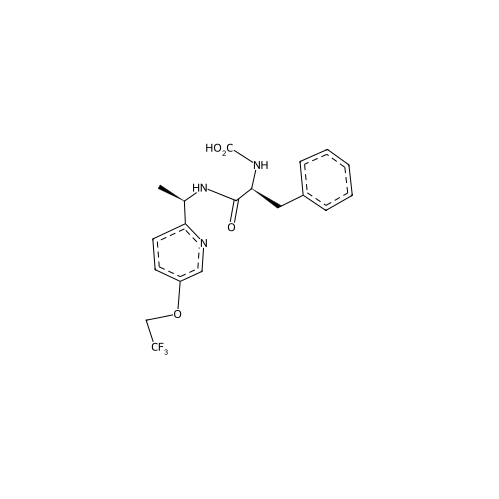 C[C@@H](NC(=O)[C@H](Cc1ccccc1)NC(=O)O)c1ccc(OCC(F)(F)F)cn1